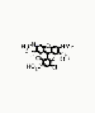 C/N=c1/cc2oc3cc(NC)c(C)cc3c(-c3c(Cl)c(C(=O)O)cc(Cl)c3C=O)c-2cc1C